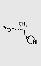 CC(C)OCCN(C)CCN1CCNCC1